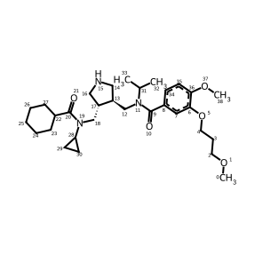 COCCCOc1cc(C(=O)N(C[C@@H]2CNC[C@H]2CN(C(=O)C2CCCCC2)C2CC2)C(C)C)ccc1OC